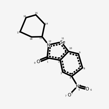 O=c1c2cc([N+](=O)[O-])ccc2[se]n1C1CCCCC1